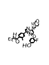 CCNC(=O)c1ccc(-c2cnc3c(NCC4CCOCC4)cc(Oc4ccc(O)cc4F)nn23)cc1C